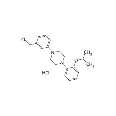 CC(C)Oc1ccccc1N1CCN(c2cccc(CCl)c2)CC1.Cl